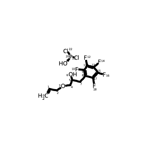 C=CCOCC(O)Cc1c(F)c(F)c(F)c(F)c1F.OP(Cl)Cl